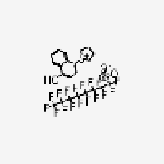 O=S(=O)([O-])C(F)(F)C(F)(F)C(F)(F)C(F)(F)C(F)(F)C(F)(F)C(F)(F)C(F)(F)F.Oc1ccc([S+]2CCCC2)c2ccccc12